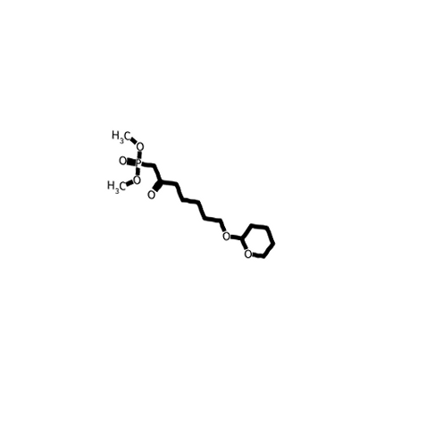 COP(=O)(CC(=O)CCCCCOC1CCCCO1)OC